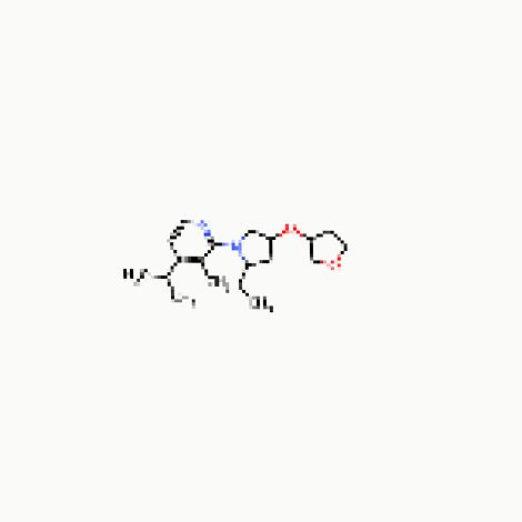 CCC1CC(OC2CCOC2)CN1c1nccc(C(C)C)c1C